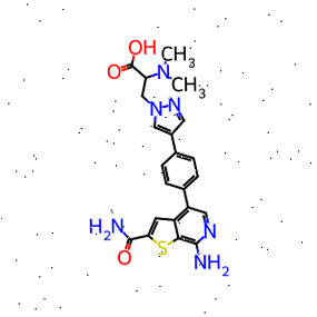 CN(C)C(Cn1cc(-c2ccc(-c3cnc(N)c4sc(C(N)=O)cc34)cc2)cn1)C(=O)O